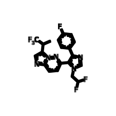 CC(c1cnc2ccc(-c3c(-c4ccc(F)cc4)ncn3CC(F)F)nn12)C(F)(F)F